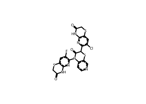 O=C1CSc2cc(Cl)c(C3Sc4cn[c]cc4N(c4nc5c(cc4F)SCC(=O)N5)C3=O)nc2N1